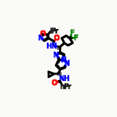 CCCC(=O)N[C@@H](c1cnn2cc([C@@H](NC(=O)c3cnoc3C(C)C)C3CCC(F)(F)CC3)nc2c1)C1CC1